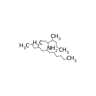 CCCC(C)C(N)CC.CCCCCCCCCCCC